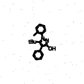 Cc1ccccc1-n1nc(O)c(-c2ccccc2)c1C(C)(C)C